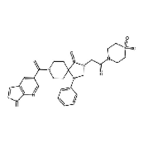 C=C(c1cnc2[nH]ncc2c1)N1CCC2(CC1)C(=O)N(CC(=O)N1CCS(=O)(=O)CC1)CN2c1ccccc1